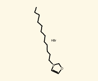 Br.CCCCCCCCCCCCN1C=COC1